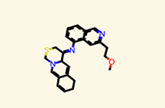 COCCc1cc2c(N=C3CSCN4C=C5C=CCCC5=CC34)cccc2cn1